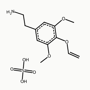 C=COc1c(OC)cc(CCN)cc1OC.O=S(=O)(O)O